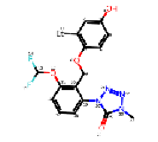 CCc1cc(O)ccc1OCc1c(OC(F)F)cccc1-n1nnn(C)c1=O